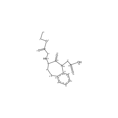 CCOC(=O)CNC1CSc2ccccc2N(CC(=O)O)C1=O